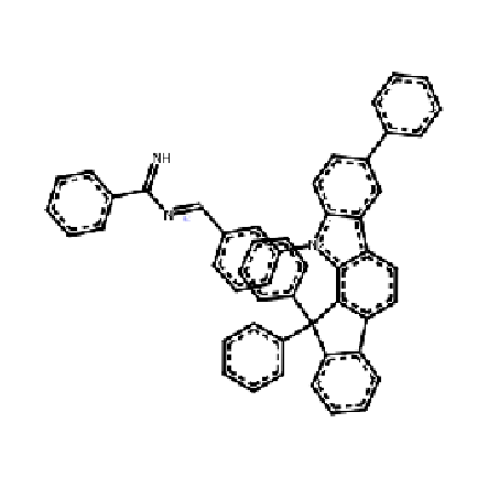 N=C(/N=C/c1cccc(-n2c3ccc(-c4ccccc4)cc3c3ccc4c(c32)C(c2ccccc2)(c2ccccc2)c2ccccc2-4)c1)c1ccccc1